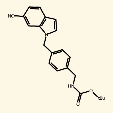 CC(C)(C)OC(=O)NCc1ccc(Cn2ccc3ccc(C#N)cc32)cc1